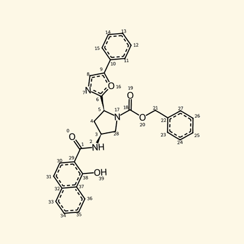 O=C(N[C@H]1C[C@@H](c2ncc(-c3ccccc3)o2)N(C(=O)OCc2ccccc2)C1)c1ccc2ccccc2c1O